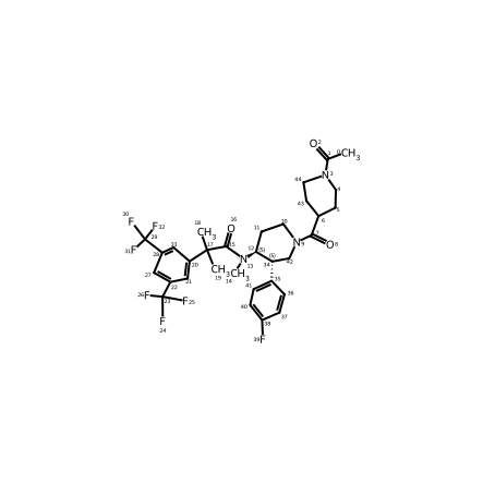 CC(=O)N1CCC(C(=O)N2CC[C@H](N(C)C(=O)C(C)(C)c3cc(C(F)(F)F)cc(C(F)(F)F)c3)[C@@H](c3ccc(F)cc3)C2)CC1